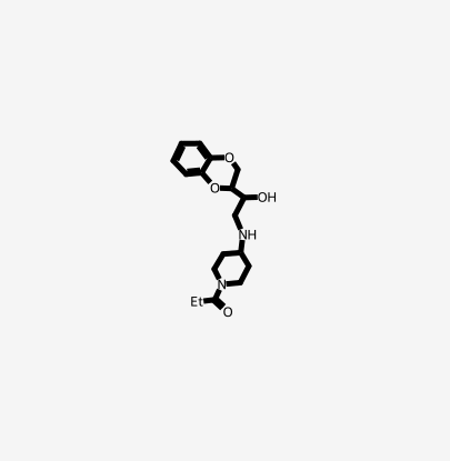 CCC(=O)N1CCC(NCC(O)C2COc3ccccc3O2)CC1